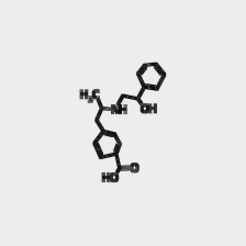 CC(Cc1ccc(C(=O)O)cc1)NCC(O)c1ccccc1